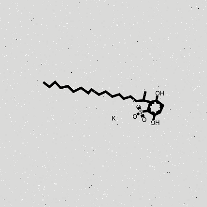 CCCCCCCCCCCCCCCCC(C)c1c(O)ccc(O)c1S(=O)(=O)[O-].[K+]